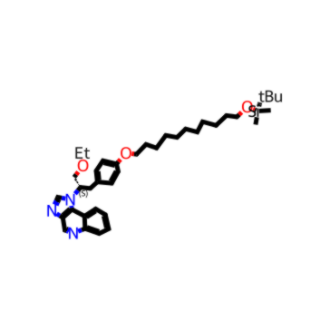 CCOC[C@H](Cc1ccc(OCCCCCCCCCCCO[Si](C)(C)C(C)(C)C)cc1)n1cnc2cnc3ccccc3c21